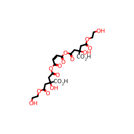 O=C(/C=C\C(=O)OC(=O)CC(O)(CC(=O)OCCO)C(=O)O)OC(=O)CC(O)(CC(=O)OCCO)C(=O)O